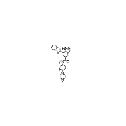 CN1CCN(c2ccc(NC(=O)c3cc(-c4cc5ccccc5s4)c4[nH]ncc4c3)cn2)CC1